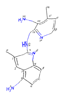 Cc1cc2c(N)cccc2nc1Nc1nccc(C)c1N